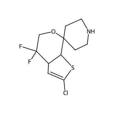 FC1(F)COC2(CCNCC2)C2SC(Cl)=CC21